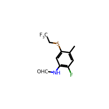 Cc1cc(F)c(NC=O)cc1SCC(F)(F)F